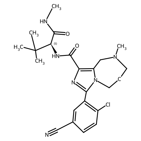 CNC(=O)[C@@H](NC(=O)c1nc(-c2cc(C#N)ccc2Cl)n2c1CN(C)CCC2)C(C)(C)C